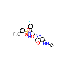 O=C(CC(NS(=O)(=O)c1cccc(C(F)(F)F)c1)c1ccc(F)cc1)NC1CCOc2cc(CNC3CCC3)ccc21